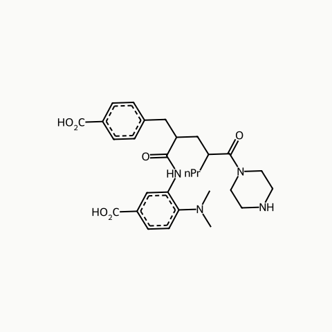 CCCC(CC(Cc1ccc(C(=O)O)cc1)C(=O)Nc1cc(C(=O)O)ccc1N(C)C)C(=O)N1CCNCC1